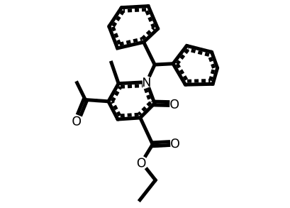 CCOC(=O)c1cc(C(C)=O)c(C)n(C(c2ccccc2)c2ccccc2)c1=O